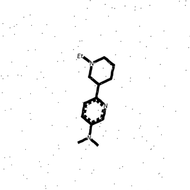 CCN1CCCC(c2ccc(N(C)C)cn2)C1